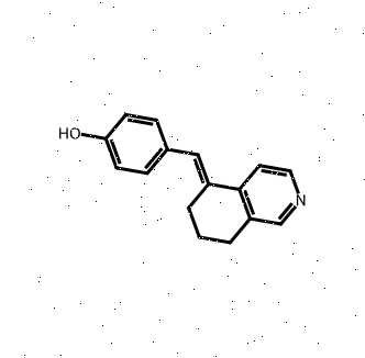 Oc1ccc(/C=C2\CCCc3cnccc32)cc1